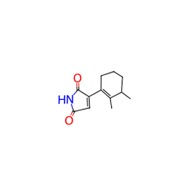 CC1=C(C2=CC(=O)NC2=O)CCCC1C